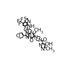 CCc1c(N2CCN(C(=O)c3ncnc(C)c3O)CC2)c(=O)n2nc(C3=CCOCC3)nc2n1CC(=O)Nc1c(Cl)cc(C(F)(F)F)c2scnc12